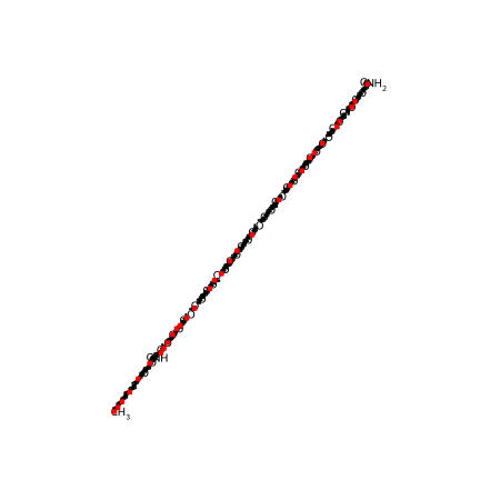 CCCCCCCCCCCCCCCCOCCCOC(=O)NCCOCCOCCOCCOCCOCCOCCOCCOCCOCCOCCOCCOCCOCCOCCOCCOCCOCCOCCOCCOCCOCCOCCOCCOCCOCCOCCOCCOCCOCCOCCOCCOCCOCCOCCOCCOCCC(N)=O